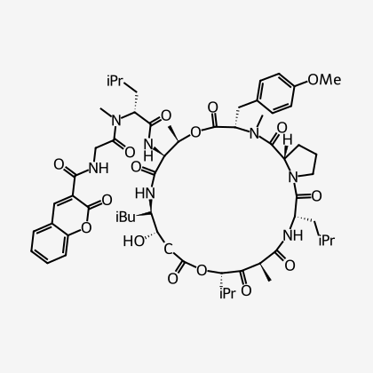 CC[C@H](C)[C@H]1NC(=O)[C@@H](NC(=O)[C@@H](CC(C)C)N(C)C(=O)CNC(=O)c2cc3ccccc3oc2=O)[C@@H](C)OC(=O)[C@H](Cc2ccc(OC)cc2)N(C)C(=O)[C@@H]2CCCN2C(=O)[C@H](CC(C)C)NC(=O)[C@@H](C)C(=O)[C@H](C(C)C)OC(=O)C[C@@H]1O